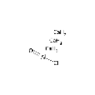 [CaH2].[CaH2].[CaH2].[O]=[Al][Cl]